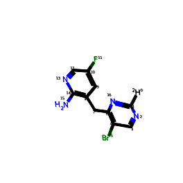 [2H]c1ncc(Br)c(Cc2cc(F)cnc2N)n1